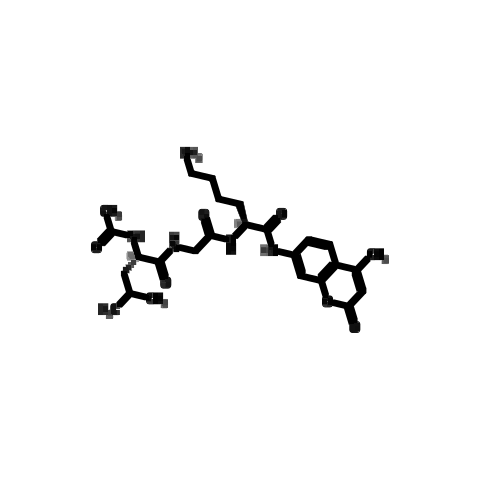 CC(=O)N[C@@H](CC(C)C)C(=O)NCC(=O)N[C@@H](CCCCN)C(=O)Nc1ccc2c(C)cc(=O)oc2c1